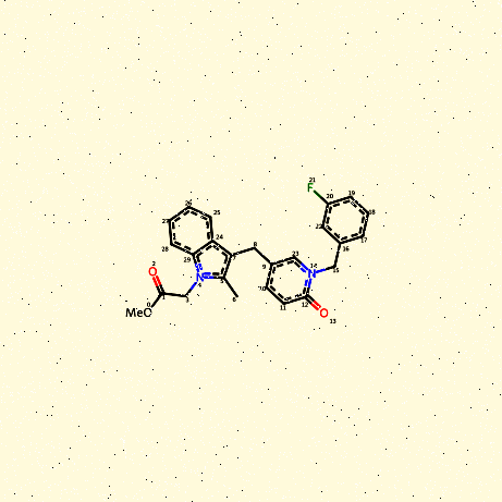 COC(=O)Cn1c(C)c(Cc2ccc(=O)n(Cc3cccc(F)c3)c2)c2ccccc21